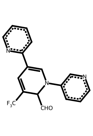 O=CC1C(C(F)(F)F)=CC(c2ccccn2)=CN1c1cccnc1